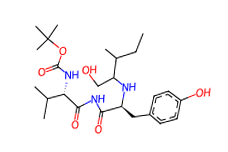 CCC(C)C(CO)N[C@@H](Cc1ccc(O)cc1)C(=O)NC(=O)[C@@H](NC(=O)OC(C)(C)C)C(C)C